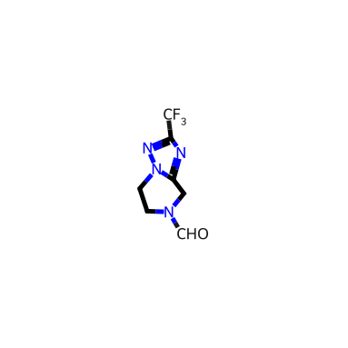 O=CN1CCn2nc(C(F)(F)F)nc2C1